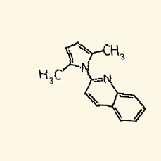 Cc1ccc(C)n1-c1ccc2ccccc2n1